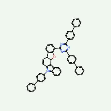 C1=CC2c3cccc(-c4nc(-c5ccc(-c6ccccc6)cc5)nc(-c5ccc(-c6ccccc6)cc5)n4)c3OC2c2c1n(-c1ccc(-c3ccccc3)cc1)c1ccccc21